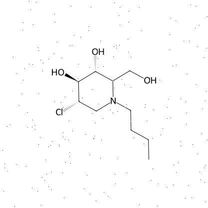 CCCCN1C[C@H](Cl)[C@@H](O)[C@H](O)C1CO